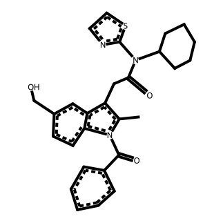 Cc1c(CC(=O)N(c2nccs2)C2CCCCC2)c2cc(CO)ccc2n1C(=O)c1ccccc1